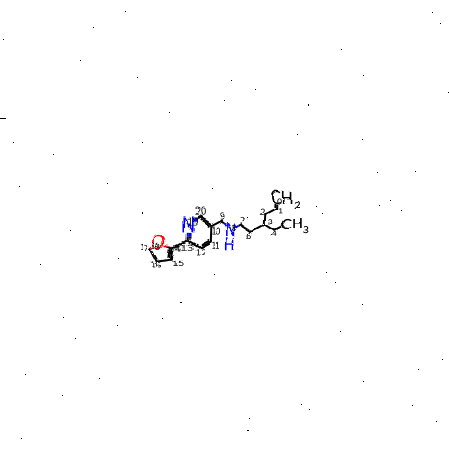 C=CCC(CC)CCNCc1ccc(-c2ccco2)nc1